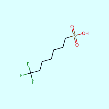 O=S(=O)(O)CCCCCCC(F)(F)F